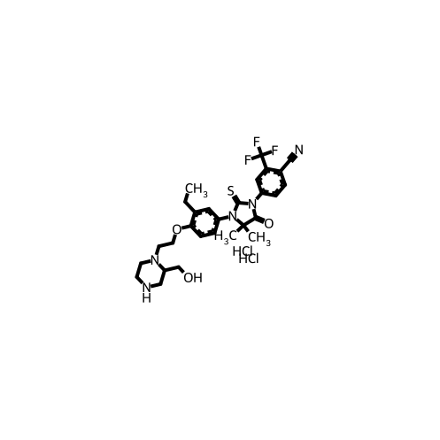 CCc1cc(N2C(=S)N(c3ccc(C#N)c(C(F)(F)F)c3)C(=O)C2(C)C)ccc1OCCN1CCNCC1CO.Cl.Cl